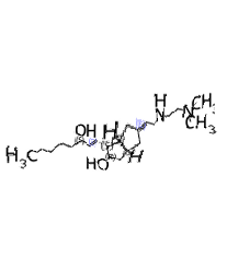 CCCCC[C@H](O)/C=C/[C@@H]1[C@H]2C/C(=C/CNCCN(C)C)C[C@H]2C[C@H]1O